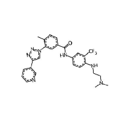 Cc1ccc(C(=O)Nc2ccc(NCCN(C)C)c(C(F)(F)F)c2)cc1-n1cc(-c2cccnc2)nn1